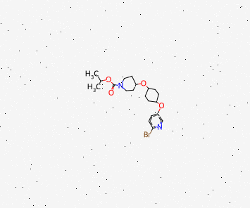 CC(C)OC(=O)N1CCC(OC2CCC(Oc3ccc(Br)nc3)CC2)CC1